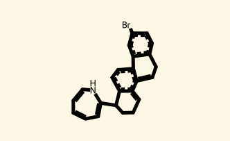 Brc1ccc2c(c1)-c1ccc3c(c1=CC2)=CCCC3C1=CC=CC=CN1